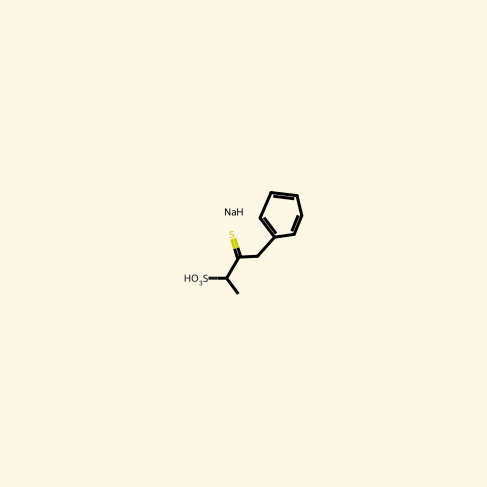 CC(C(=S)Cc1ccccc1)S(=O)(=O)O.[NaH]